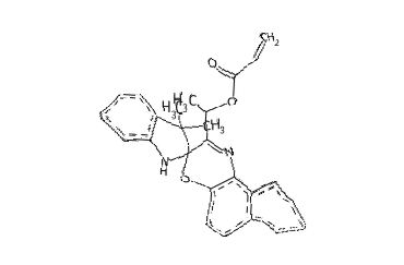 C=CC(=O)OC(C)C1=Nc2c(ccc3ccccc23)OC12Nc1ccccc1C2(C)C